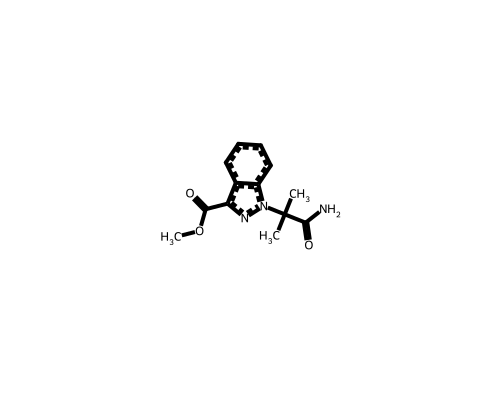 COC(=O)c1nn(C(C)(C)C(N)=O)c2ccccc12